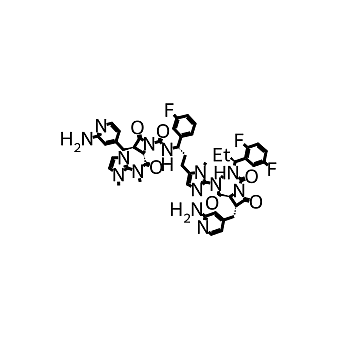 CC[C@H](NC(=O)N1C(=O)[C@H](Cc2ccnc(N)c2)[C@H]1C(=O)N(C)c1ncc(CC[C@H](NC(=O)N2C(=O)[C@H](Cc3ccnc(N)c3)[C@H]2C(=O)N(C)c2nccn2C)c2cccc(F)c2)n1C)c1cc(F)ccc1F